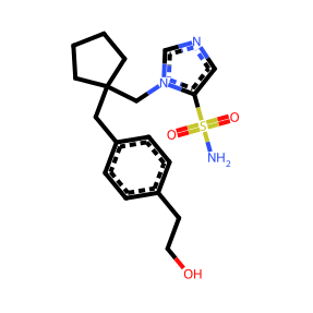 NS(=O)(=O)c1cncn1CC1(Cc2ccc(CCO)cc2)CCCC1